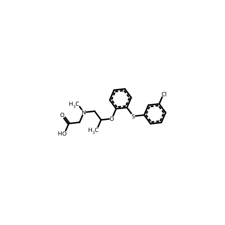 CC(CN(C)CC(=O)O)Oc1ccccc1Sc1cccc(Cl)c1